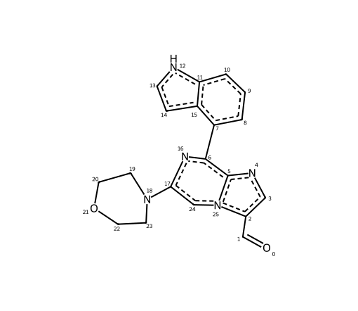 O=Cc1cnc2c(-c3cccc4[nH]ccc34)nc(N3CCOCC3)cn12